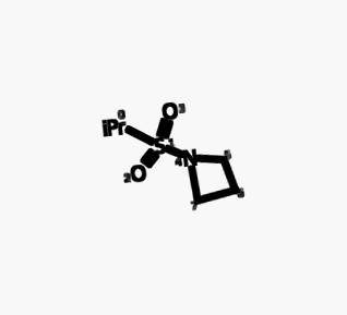 CC(C)S(=O)(=O)N1CCC1